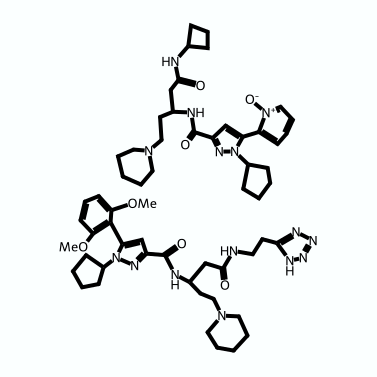 COc1cccc(OC)c1-c1cc(C(=O)NC(CCN2CCCCC2)CC(=O)NCCc2nnn[nH]2)nn1C1CCCC1.O=C(CC(CCN1CCCCC1)NC(=O)c1cc(-c2cccc[n+]2[O-])n(C2CCCC2)n1)NC1CCC1